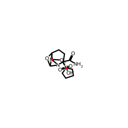 NC(=O)[C@]1(N2CCCC2)CCC23CN1C(O2)N3OS(=O)(=O)O